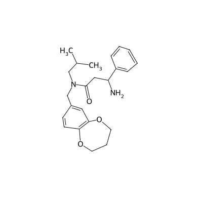 CC(C)CN(Cc1ccc2c(c1)OCCCO2)C(=O)CC(N)c1ccccc1